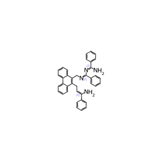 N/C(=C\Cc1c(C/N=C(\N=C(/N)c2ccccc2)c2ccccc2)c2ccccc2c2ccccc12)c1ccccc1